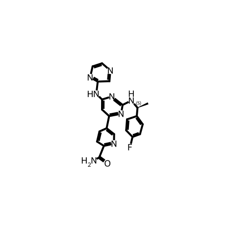 C[C@H](Nc1nc(Nc2cnccn2)cc(-c2ccc(C(N)=O)nc2)n1)c1ccc(F)cc1